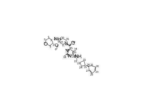 CO[C@@H]1COCC[C@@H]1NC1CCN(C(=O)c2nc(C)nc(NC[C@H]3C[C@H](C4C=CC=CC4)C3)c2C)CC1